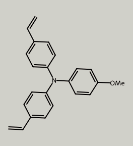 C=Cc1ccc(N(c2ccc(C=C)cc2)c2ccc(OC)cc2)cc1